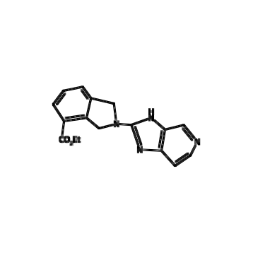 CCOC(=O)c1cccc2c1CN(c1nc3ccncc3[nH]1)C2